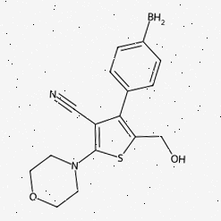 Bc1ccc(-c2c(CO)sc(N3CCOCC3)c2C#N)cc1